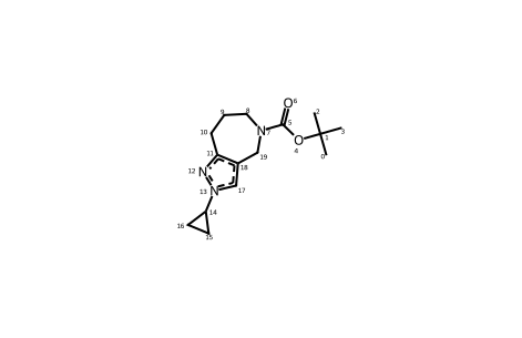 CC(C)(C)OC(=O)N1CCCc2nn(C3CC3)cc2C1